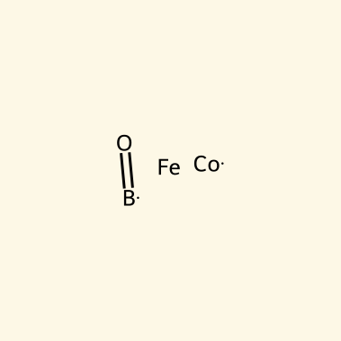 [B]=O.[Co].[Fe]